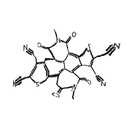 CN1C(=O)c2c3sc(C#N)c(C#N)c3c3c4c(c5sc(C#N)c(C#N)c5c(c24)C1=O)C(=O)N(C)C3=O